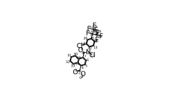 COC(=O)c1ccc(C(=O)N(Cl)c2ccc(C(F)(C(F)(F)F)C(F)(F)F)cc2Cl)c2ccccc12